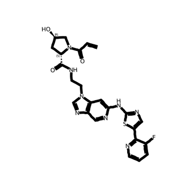 C=CC(=O)N1C[C@H](O)C[C@H]1C(=O)NCCn1cnc2cnc(Nc3ncc(-c4ncccc4F)s3)cc21